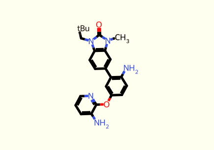 Cn1c(=O)n(CC(C)(C)C)c2ccc(-c3cc(Oc4ncccc4N)ccc3N)cc21